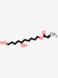 C=CC(=O)OCCCCCC(O)CCCCO